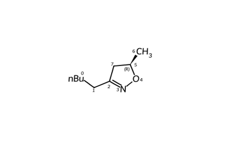 CCCCCC1=NO[C@H](C)C1